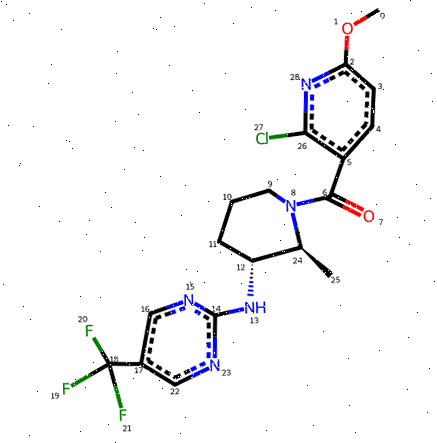 COc1ccc(C(=O)N2CCC[C@@H](Nc3ncc(C(F)(F)F)cn3)[C@@H]2C)c(Cl)n1